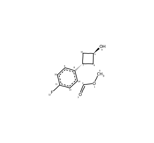 COC=O.O[C@H]1C[C@H](c2ccc(F)cc2)C1